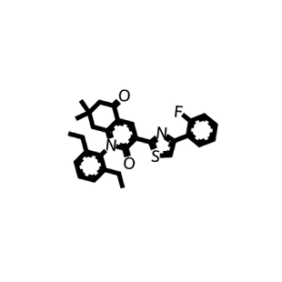 CCc1cccc(CC)c1-n1c2c(cc(-c3nc(-c4ccccc4F)cs3)c1=O)C(=O)CC(C)(C)C2